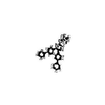 O=S(=O)(Oc1cnc(-c2ccc(-c3ccccc3)cc2)c(-c2ccc(-c3ccccc3)cc2)n1)C(F)(F)F